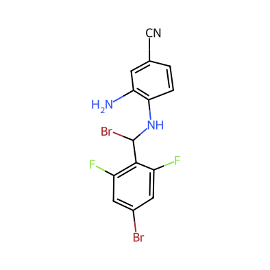 N#Cc1ccc(NC(Br)c2c(F)cc(Br)cc2F)c(N)c1